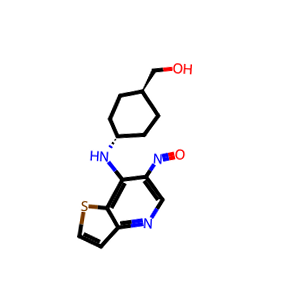 O=Nc1cnc2ccsc2c1N[C@H]1CC[C@H](CO)CC1